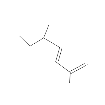 [CH]=C(C)/C=C/C(C)CC